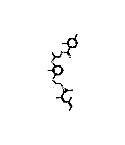 C/C=C(C)\C=C(\C)C1=C(C)N1C[C@H](C)Oc1cccc(OC(C)CNC(=O)c2ccc(C)cc2C)c1C